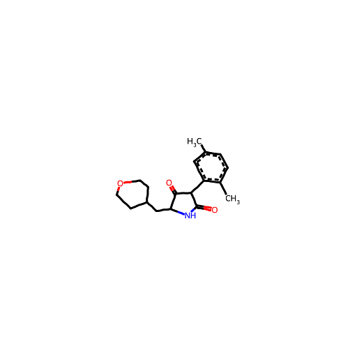 Cc1ccc(C)c(C2C(=O)NC(CC3CCOCC3)C2=O)c1